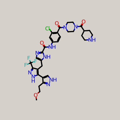 COCCc1n[nH]cc1-c1[nH]nc(C(F)(F)F)c1Cc1cnc(C(=O)Nc2ccc(C(=O)N3CCN(C(=O)C4CCNCC4)CC3)c(Cl)c2)[nH]1